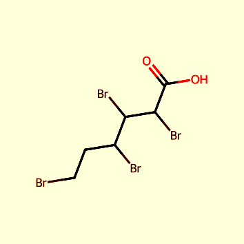 O=C(O)C(Br)C(Br)C(Br)CCBr